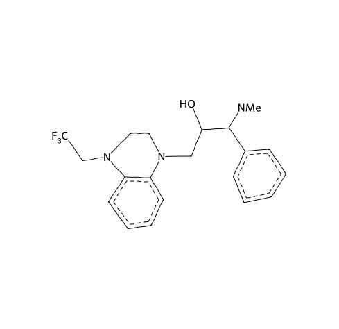 CNC(c1ccccc1)C(O)CN1CCN(CC(F)(F)F)c2ccccc21